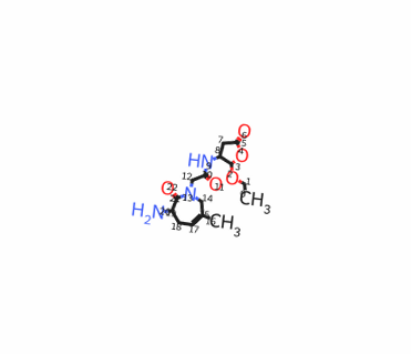 CCOC1OC(=O)CC1NC(=O)CN1CC(C)=CCC(N)C1=O